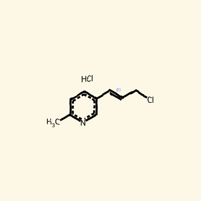 Cc1ccc(/C=C/CCl)cn1.Cl